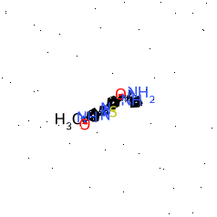 CNC(=O)c1ccc(-c2cn3c(n2)sc2cc(C(=O)N[C@@H](CN)C4CCCC4)ccc23)cc1